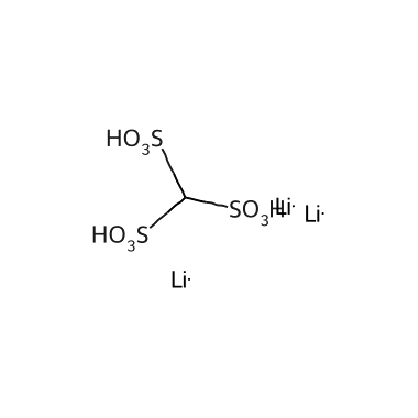 O=S(=O)(O)C(S(=O)(=O)O)S(=O)(=O)O.[Li].[Li].[Li]